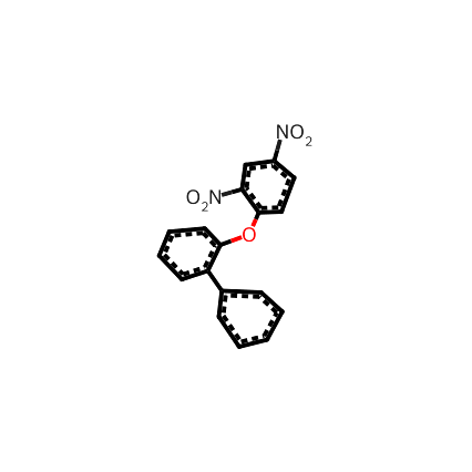 O=[N+]([O-])c1ccc(Oc2ccccc2-c2ccccc2)c([N+](=O)[O-])c1